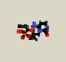 CO[C@@H](OC(C)Cn1c(N)ccnc1=O)P(=O)(O)O